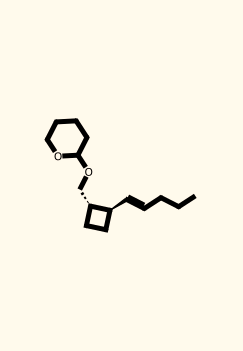 CCC/C=C/[C@H]1CC[C@@H]1COC1CCCCO1